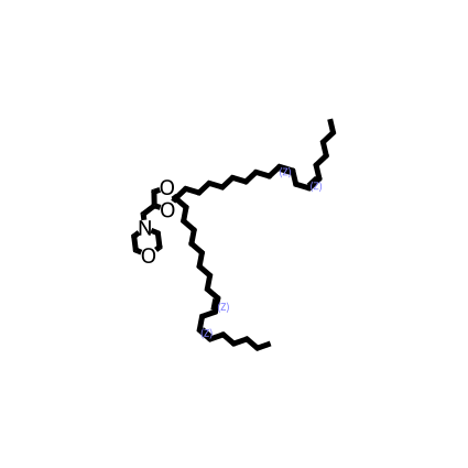 CCCCC/C=C\C/C=C\CCCCCCCCC1(CCCCCCCC/C=C\C/C=C\CCCCC)OCC(CN2CCOCC2)O1